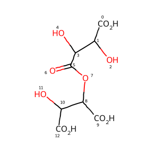 O=C(O)C(O)C(O)C(=O)OC(C(=O)O)C(O)C(=O)O